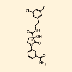 NC(=O)c1cccc(N2CC[C@](O)(C(=O)NCCc3cc(F)cc(Cl)c3)C2=O)c1